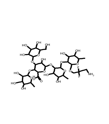 CC1OC(OC2C(C(=O)O)OC(OC3C(OC4C(OCC(F)(F)CN)OC(C)C(O)C4O)OC(C)C(O)C3O)C(O)C2OC2OC(CO)C(O)C(O)C2O)C(O)C(O)C1O